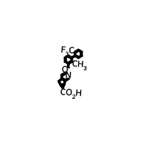 Cc1c(COc2cc3c(cn2)C2C(C3)C2C(=O)O)cccc1-c1ccccc1C(F)(F)F